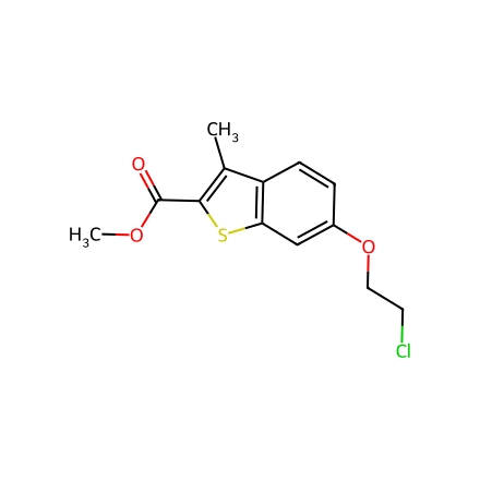 COC(=O)c1sc2cc(OCCCl)ccc2c1C